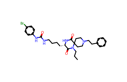 CCCN1C(=O)[C@H](CCCCNC(=O)Nc2ccc(Br)cc2)NC(=O)C12CCN(CCc1ccccc1)CC2